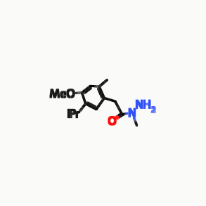 COc1cc(C)c(CC(=O)N(C)N)cc1C(C)C